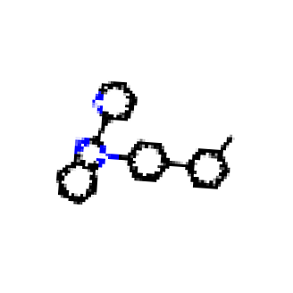 Cc1cccc(-c2ccc(-n3c(-c4ccccn4)nc4ccccc43)cc2)c1